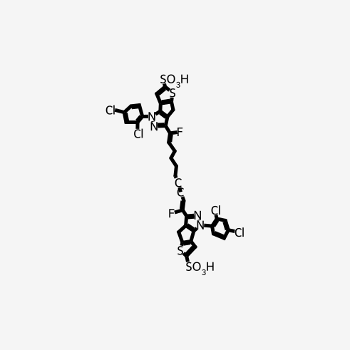 O=S(=O)(O)c1cc2c(s1)Cc1c(/C(F)=C/CCCCCC/C=C(\F)c3nn(-c4ccc(Cl)cc4Cl)c4c3Cc3sc(S(=O)(=O)O)cc3-4)nn(-c3ccc(Cl)cc3Cl)c1-2